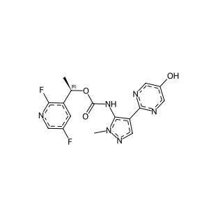 C[C@@H](OC(=O)Nc1c(-c2ncc(O)cn2)cnn1C)c1cc(F)cnc1F